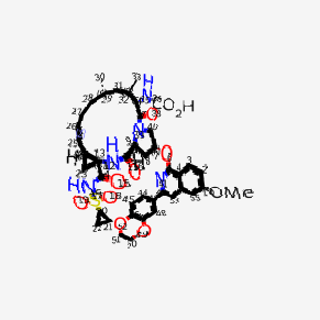 COc1ccc2c(O[C@@H]3C[C@H]4C(=O)N[C@]5(C(=O)NS(=O)(=O)C6CC6)C[C@H]5/C=C\CC[C@H](C)C[C@@H](C)[C@H](NC(=O)O)C(=O)N4C3)nc(-c3ccc4c(c3)OCCO4)cc2c1